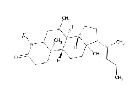 CCCC(C)[C@H]1CC[C@H]2[C@@H]3C(C)CC4N(C)C(=O)CC[C@]4(C)[C@H]3CC[C@]12C